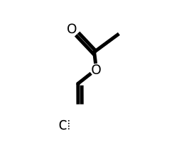 C=COC(C)=O.[C]